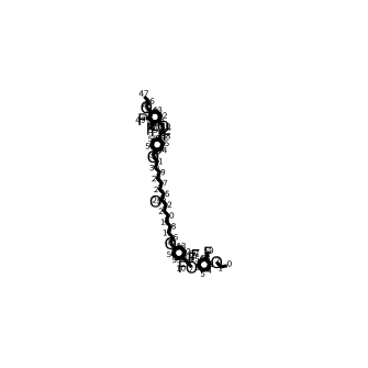 CCOc1ccc(OC(F)(F)c2ccc(OCCCCCCCC(=O)CCCCCCCOc3ccc(C(F)(F)Oc4ccc(OCC)c(F)c4F)cc3)cc2)c(F)c1F